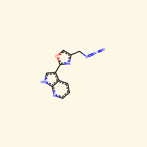 [N-]=[N+]=NCc1coc(-c2c[nH]c3ncccc23)n1